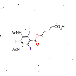 CC(=O)Nc1c(I)c(NC(C)=O)c(I)c(C(=O)OCCCCC(=O)O)c1I